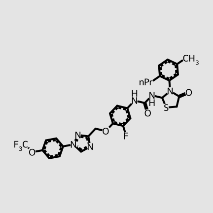 CCCc1ccc(C)cc1N1C(=O)CSC1NC(=O)Nc1ccc(OCc2ncn(-c3ccc(OC(F)(F)F)cc3)n2)c(F)c1